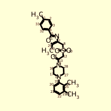 Cc1ccc(-c2nc(CS(=O)(=O)CC(=O)N3CCN(c4cccc(C)c4C)CC3)c(C)o2)cc1